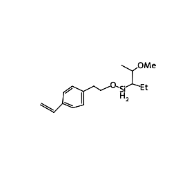 C=Cc1ccc(CCO[SiH2]C(CC)C(C)OC)cc1